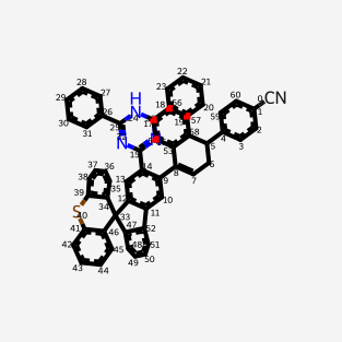 N#Cc1ccc(C2CC=C(c3cc4c(cc3C3=NC(c5ccccc5)NC(c5ccccc5)=N3)C3(c5ccccc5Sc5ccccc53)c3ccccc3-4)c3ccccc32)cc1